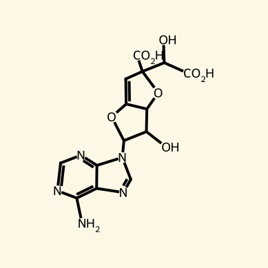 Nc1ncnc2c1ncn2C1OC2=CC(C(=O)O)(C(O)C(=O)O)OC2C1O